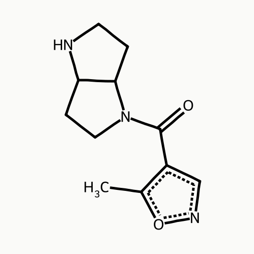 Cc1oncc1C(=O)N1CCC2NCCC21